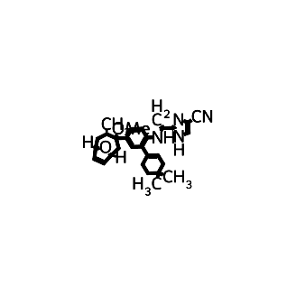 C=C(Nc1ccc(C2(OC)C[C@@H]3C=C[C@H](C[C@H]2C)O3)cc1C1=CCC(C)(C)CC1)c1nc(C#N)c[nH]1